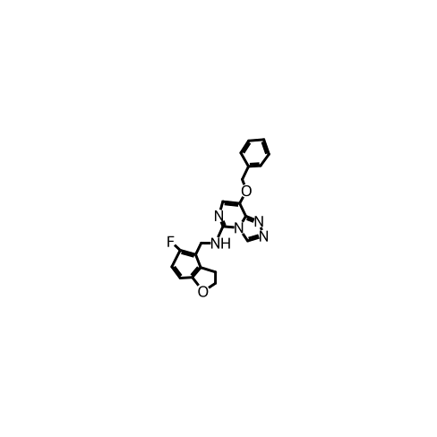 Fc1ccc2c(c1CNc1ncc(OCc3ccccc3)c3nncn13)CCO2